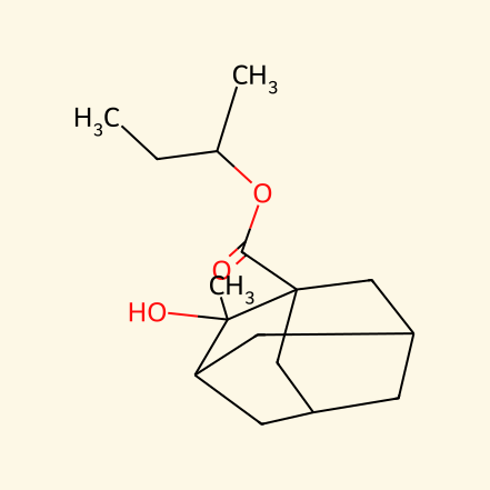 CCC(C)OC(=O)C12CC3CC(CC(C3)C1(C)O)C2